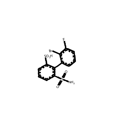 NS(=O)(=O)c1cccc(S(=O)(=O)O)c1-c1cccc(F)c1Br